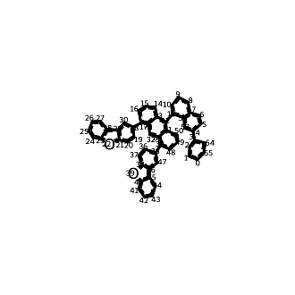 c1ccc(-c2ccc3cccc(-c4c5cccc(-c6ccc7oc8ccccc8c7c6)c5cc5c(-c6ccc7oc8ccccc8c7c6)cccc45)c3c2)cc1